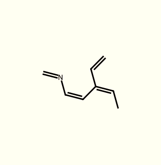 C=CC(/C=C\N=C)=C/C